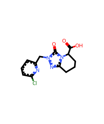 O=C(O)C1CCCc2nn(Cc3cccc(Cl)n3)c(=O)n21